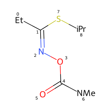 CCC(=NOC(=O)NC)SC(C)C